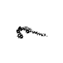 CCCCCCCCCCCCOc1cccc(OCC(COP(=O)(O)Oc2cccc(C[n+]3cccc4ccccc43)c2)OC)c1C